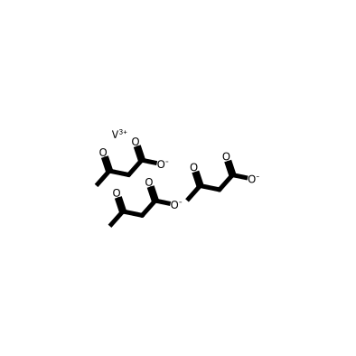 CC(=O)CC(=O)[O-].CC(=O)CC(=O)[O-].CC(=O)CC(=O)[O-].[V+3]